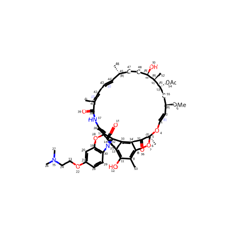 CO[C@H]1/C=C/O[C@@]2(C)Oc3c(C)c(O)c4c(=O)c(c5oc6cc(OCCN(C)C)ccc6nc-5c4c3C2=O)NC(=O)/C(C)=C\C=C\[C@H](C)CC[C@@H](O)[C@@H](C)[C@H](OC(C)=O)C1